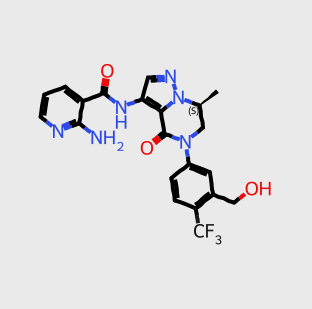 C[C@H]1CN(c2ccc(C(F)(F)F)c(CO)c2)C(=O)c2c(NC(=O)c3cccnc3N)cnn21